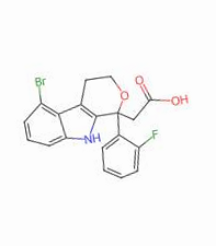 O=C(O)CC1(c2ccccc2F)OCCc2c1[nH]c1cccc(Br)c21